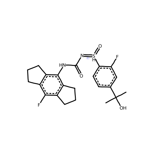 CC(C)(O)c1ccc(/[SH](=O)=N\C(=O)Nc2c3c(c(F)c4c2CCC4)CCC3)c(F)c1